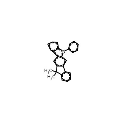 CC1(C)c2ccccc2-c2cc3c(cc21)c1ccccc1n3-c1ccccc1